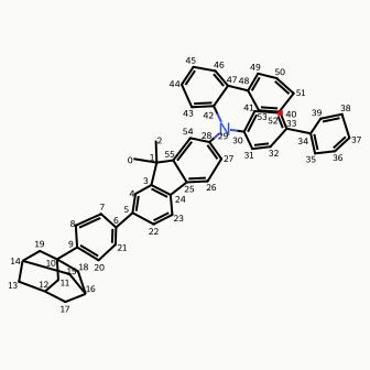 CC1(C)c2cc(-c3ccc(C45CC6CC(CC(C6)C4)C5)cc3)ccc2-c2ccc(N(c3ccc(-c4ccccc4)cc3)c3ccccc3-c3ccccc3)cc21